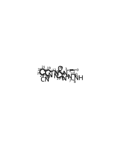 CC#CCn1c(N2CCNCC2)nc2cnn(Cc3cc4ccccc4c(C#N)n3)c(=O)c21